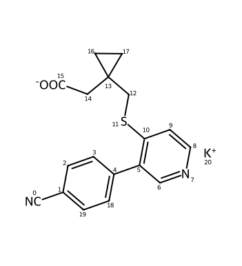 N#Cc1ccc(-c2cnccc2SCC2(CC(=O)[O-])CC2)cc1.[K+]